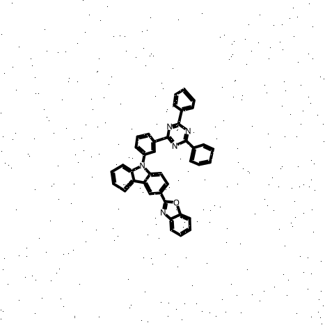 c1ccc(-c2nc(-c3ccccc3)nc(-c3cccc(-n4c5ccccc5c5cc(-c6nc7ccccc7o6)ccc54)c3)n2)cc1